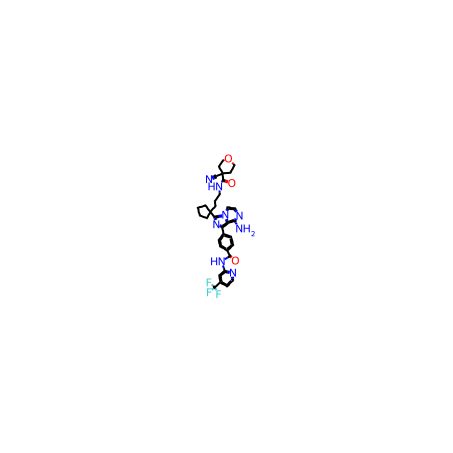 N#CC1(C(=O)NCCCC2(c3nc(-c4ccc(C(=O)Nc5cc(C(F)(F)F)ccn5)cc4)c4c(N)nccn34)CCCC2)CCOCC1